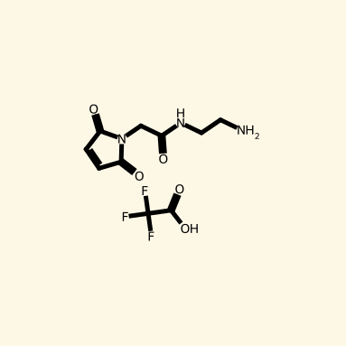 NCCNC(=O)CN1C(=O)C=CC1=O.O=C(O)C(F)(F)F